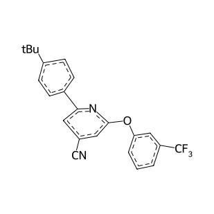 CC(C)(C)c1ccc(-c2cc(C#N)cc(Oc3cccc(C(F)(F)F)c3)n2)cc1